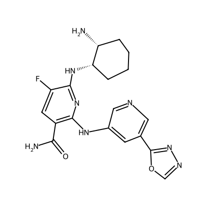 NC(=O)c1cc(F)c(N[C@H]2CCCC[C@H]2N)nc1Nc1cncc(-c2nnco2)c1